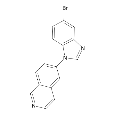 Brc1ccc2c(c1)ncn2-c1ccc2cnccc2c1